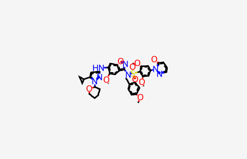 COc1ccc(CN(c2noc3cc(Nc4cc(C5CC5)n(C5CCCCO5)n4)c(OC)cc23)S(=O)(=O)c2c(OC)cc(-n3ncccc3=O)cc2OC)cc1